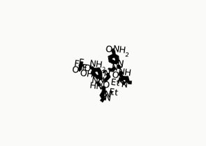 CCn1nc(C)cc1C(=O)Nc1nc2cc(C(N)=O)ccc2n1CCN(C)CCn1c(NC(=O)c2cc(C)nn2CC)nc2cc(C(N)=O)ccc21.O=C(O)C(F)(F)F